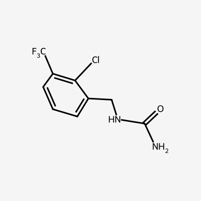 NC(=O)NCc1cccc(C(F)(F)F)c1Cl